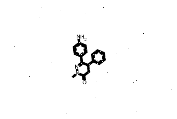 CN1N=C(c2ccc(N)cc2)C(c2ccccc2)CC1=O